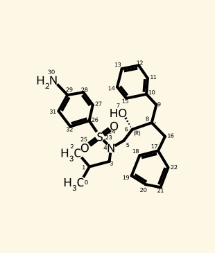 CC(C)CN(C[C@H](O)[C](Cc1ccccc1)Cc1ccccc1)S(=O)(=O)c1ccc(N)cc1